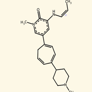 C/C=C\Nc1cc(C2=CC=C(C3CCN(C)CC3)C=CC2)cn(C)c1=O